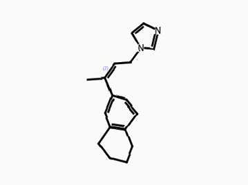 C/C(=C/Cn1ccnc1)c1ccc2c(c1)CCCC2